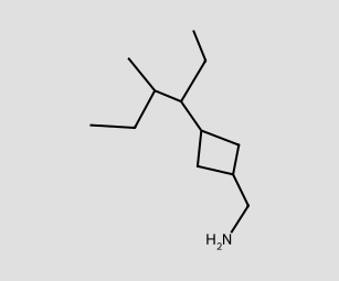 CCC(C)C(CC)C1CC(CN)C1